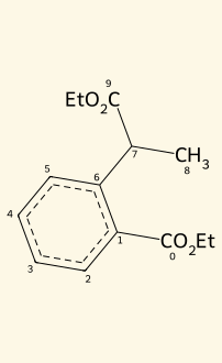 CCOC(=O)c1ccccc1C(C)C(=O)OCC